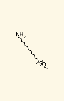 CCO[Si](C)(C)C(C)CCCCCCCCCCCCN